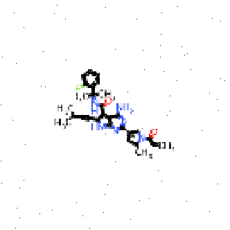 C=CC(=O)N1C[C@H](c2nc(N)c3c(C(=O)NC(C)(C)c4ccccc4F)c(C#CC(C)C)[nH]c3n2)C[C@@H]1C